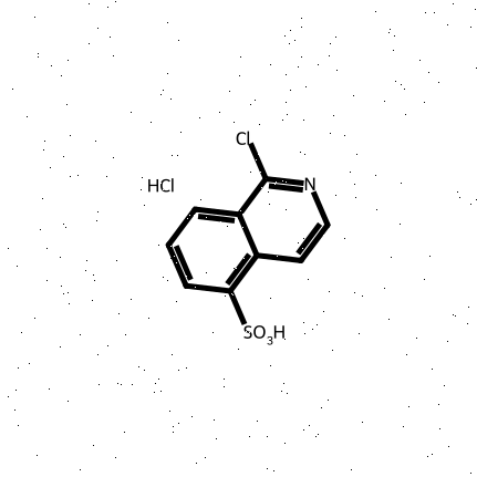 Cl.O=S(=O)(O)c1cccc2c(Cl)nccc12